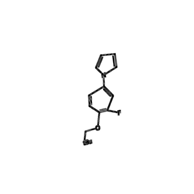 CC(C)(C)COc1ccc(-n2cccc2)cc1F